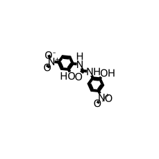 O=C(Nc1ccc([N+](=O)[O-])cc1O)Nc1ccc([N+](=O)[O-])cc1O